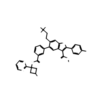 CNC(=O)c1c(-c2ccc(F)cc2)oc2cc(CCC(F)(F)F)c(-c3cccc(C(=O)NC4(c5ncccn5)CC(O)C4)c3)cc12